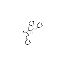 O=C(OCc1ccccc1)C(Cc1ccccc1)NCCc1ccccc1